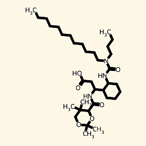 CCCCCCCCCCCCN(CCCC)C(=O)NC1CCCCC1C(CC(=O)O)NC(=O)C1OC(C)(C)OCC1(C)C